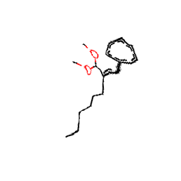 CCCCCCC(=Cc1ccccc1)C(OC)OC